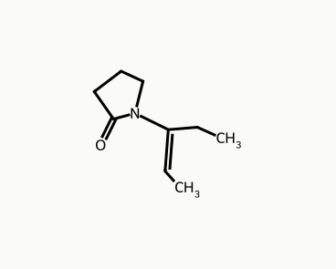 CC=C(CC)N1CCCC1=O